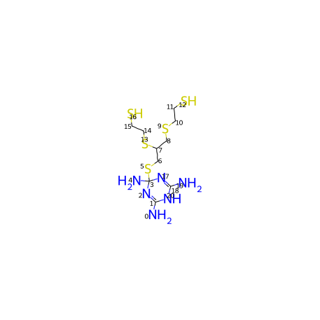 NC1=NC(N)(SCC(CSCCS)SCCS)N=C(N)N1